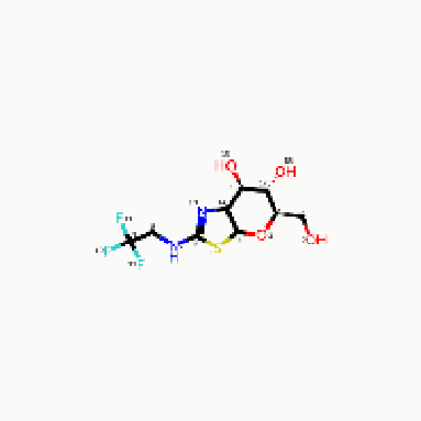 OC[C@H]1OC2SC(NCC(F)(F)F)=NC2[C@@H](O)[C@@H]1O